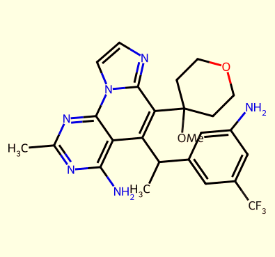 COC1(c2c(C(C)c3cc(N)cc(C(F)(F)F)c3)c3c(N)nc(C)nc3n3ccnc23)CCOCC1